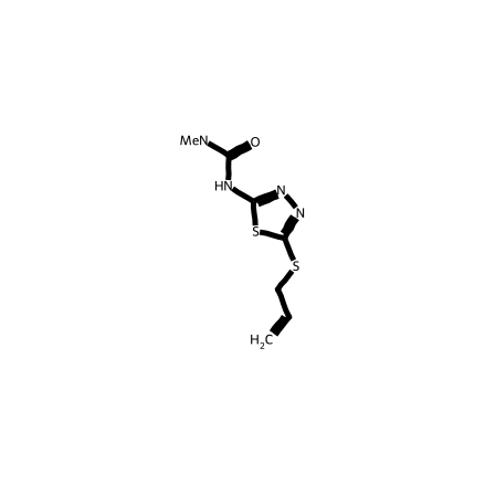 C=CCSc1nnc(NC(=O)NC)s1